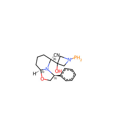 N#C[C@@]1(C2(O)CN(P)C2)CCC[C@@H]2OC[C@H](c3ccccc3)N21